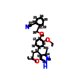 COc1cc(C(CC(C)=O)c2c[nH]nc2C)ccc1OCc1ccccc1C#N